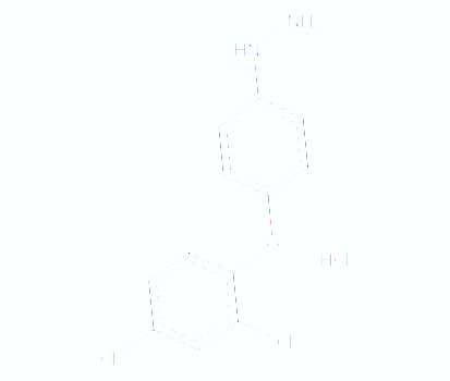 Cl.NNc1ccc(Oc2ccc(Cl)cc2Cl)cc1